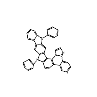 c1ccc(-n2c3ccccc3c3cc4c(cc32)c2c(ccc3c5cnccc5c5nccn5c32)n4-c2ccccc2)cc1